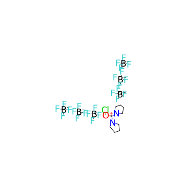 Cl[O+]=C(N1CCCC1)N1CCCC1.F[B-](F)(F)F.F[B-](F)(F)F.F[B-](F)(F)F.F[B-](F)(F)F.F[B-](F)(F)F.F[B-](F)(F)F